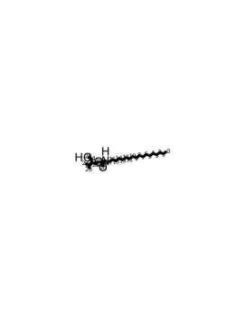 CCCCCCCCCCCCCCCCCCNC(=O)OCC(CO)=C(C)C